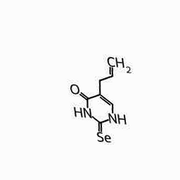 C=CCc1c[nH]c(=[Se])[nH]c1=O